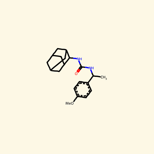 COc1ccc(C(C)NC(=O)NC2C3CC4CC(C3)CC2C4)cc1